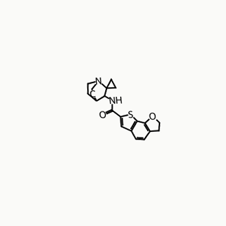 O=C(NC1C2CCN(CC2)C12CC2)c1cc2ccc3c(c2s1)OCC3